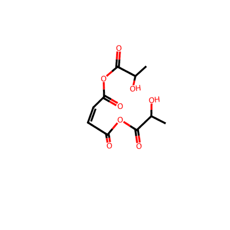 CC(O)C(=O)OC(=O)/C=C\C(=O)OC(=O)C(C)O